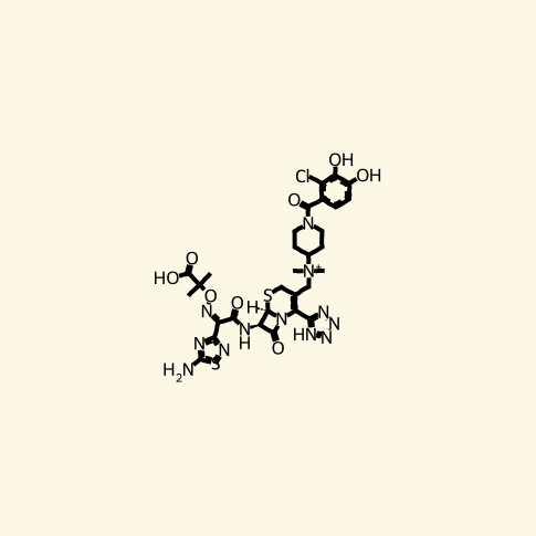 CC(C)(O/N=C(\C(=O)N[C@@H]1C(=O)N2C(c3nnn[nH]3)=C(C[N+](C)(C)C3CCN(C(=O)c4ccc(O)c(O)c4Cl)CC3)CS[C@H]12)c1nsc(N)n1)C(=O)O